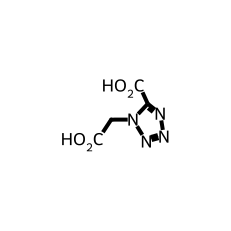 O=C(O)Cn1nnnc1C(=O)O